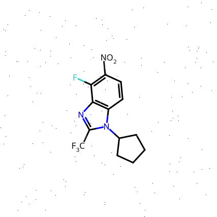 O=[N+]([O-])c1ccc2c(nc(C(F)(F)F)n2C2CCCC2)c1F